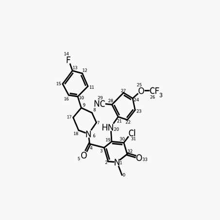 Cn1cc(C(=O)N2CCC(c3ccc(F)cc3)CC2)c(Nc2ccc(OC(F)(F)F)cc2C#N)c(Cl)c1=O